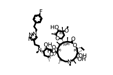 CC[C@H]1OC(=O)[C@H](C)[C@@H](C2C[C@@](C)(OC)[C@@H](O)[C@H](C)O2)[C@H](C)[C@@H](O[C@@H]2O[C@H](C)C[C@H](N(C)CCc3cn(CCc4ccc(F)cc4)nn3)[C@H]2O)[C@](C)(O)C[C@@H](C)CN(C)[C@H](C)[C@@H](O)[C@]1(C)O